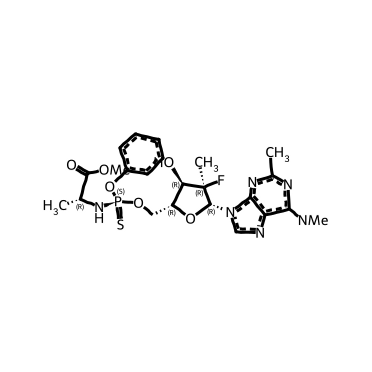 CNc1nc(C)nc2c1ncn2[C@@H]1O[C@H](CO[P@@](=S)(N[C@H](C)C(=O)OC)Oc2ccccc2)[C@@H](O)[C@@]1(C)F